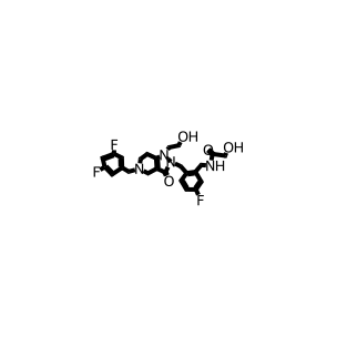 O=C(CO)NCc1cc(F)ccc1Cn1c(=O)c2c(n1CCO)CCN(Cc1cc(F)cc(F)c1)C2